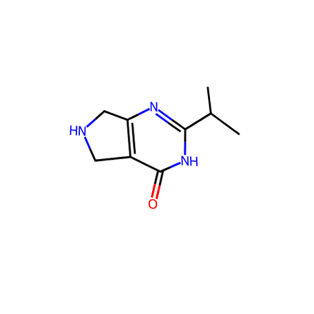 CC(C)c1nc2c(c(=O)[nH]1)CNC2